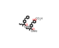 C=CCC(C)=C(C(=O)OC)c1ccc(Cc2ccccc2)cc1.C=CCC(C)=C(C(=O)OC)c1ccc(Cc2ccccc2)cc1.O=C(O)O